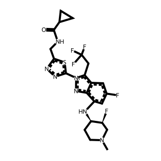 CN1CC[C@@H](Nc2cc(F)cc3c(CC(F)(F)F)n(-c4nnc(CNC(=O)C5CC5)s4)nc23)[C@@H](F)C1